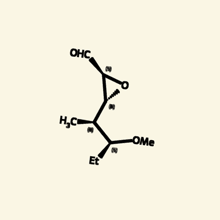 CC[C@H](OC)[C@@H](C)[C@H]1O[C@@H]1C=O